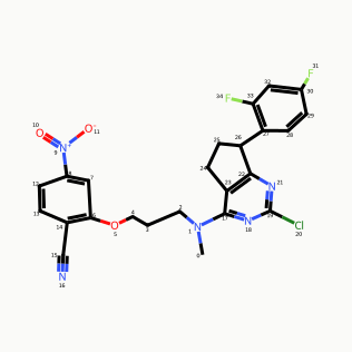 CN(CCCOc1cc([N+](=O)[O-])ccc1C#N)c1nc(Cl)nc2c1CCC2c1ccc(F)cc1F